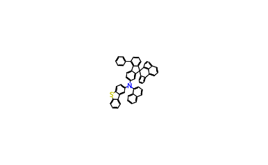 c1ccc(-c2cccc3c2-c2ccc(N(c4ccc5sc6ccccc6c5c4)c4cccc5ccccc45)cc2C32c3ccccc3-c3cccc4cccc2c34)cc1